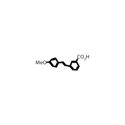 COc1ccc(/C=C/c2cccc(C(=O)O)c2)cc1